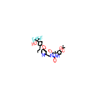 CCCc1cc(C(O)(C(F)(F)F)C(F)(F)F)ccc1Oc1ccnc(CN2C(=O)NC(C)(c3ccc4c(c3)OC(C)(C)O4)C2=O)c1